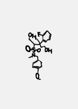 COc1ccc(CN(C)S(=O)(=O)C(CO)C(C)(CCO)c2ccccc2F)cc1